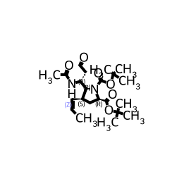 C/C=C\[C@@H]1C[C@H](C(=O)OC(C)(C)C)N(C(=O)OC(C)(C)C)[C@H]1[C@@H](CC=O)NC(C)=O